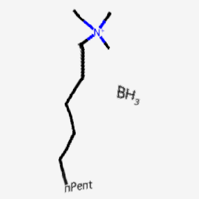 B.CCCCCCCCCC[N+](C)(C)C